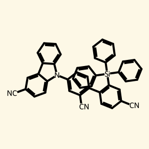 N#Cc1ccc(-c2ccc(-n3c4ccccc4c4cc(C#N)ccc43)cc2C#N)c([Si](c2ccccc2)(c2ccccc2)c2ccccc2)c1